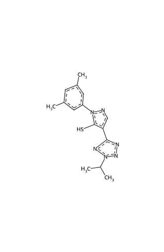 Cc1cc(C)cc(-n2ncc(-c3nnn(C(C)C)n3)c2S)c1